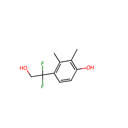 Cc1c(O)ccc(C(F)(F)CO)c1C